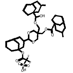 CC1CC2CCCC(C(=O)OCC3(COC(O)C45CCCC(CC(C)C4)C5)COC(C4CC5CCCC(OC(=O)C(F)(F)S(=O)(=O)O)(C5)C4)OC3)(C1)C2